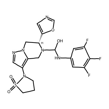 O=S1(=O)CCCN1c1cnn2c1CN(C(O)Nc1cc(F)c(F)c(F)c1)[C@@H](c1cnco1)C2